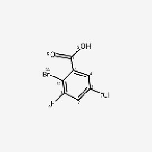 O=C(O)c1cc(Cl)cc(F)c1Br